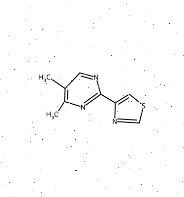 Cc1cnc(-c2cscn2)nc1C